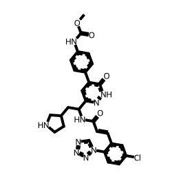 COC(=O)Nc1ccc(-c2cc(C(CC3CCNC3)NC(=O)C=Cc3cc(Cl)ccc3-n3cnnn3)n[nH]c2=O)cc1